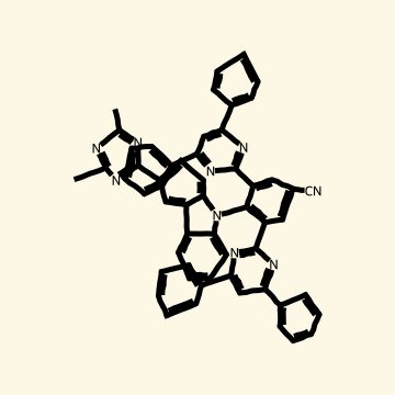 Cc1nc(C)nc(-c2ccc3c(c2)c2ccccc2n3-c2c(-c3nc(-c4ccccc4)cc(-c4ccccc4)n3)cc(C#N)cc2-c2nc(-c3ccccc3)cc(-c3ccccc3)n2)n1